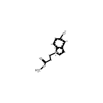 COC(=O)CCn1ccc2cc(Cl)ccc21